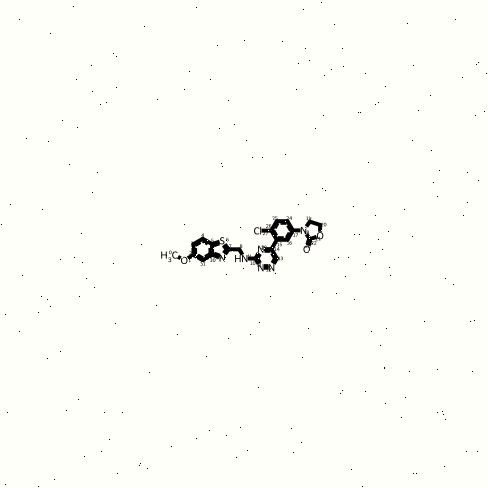 COc1ccc2sc(CNc3nncc(-c4cc(N5CCOC5=O)ccc4Cl)n3)nc2c1